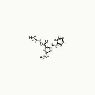 C=CCOC(=O)N1C[C@@H](SC(C)=O)C[C@H]1CCc1cccnc1